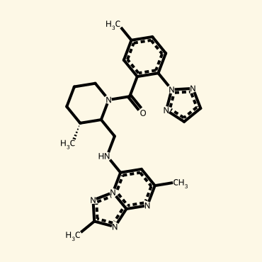 Cc1ccc(-n2nccn2)c(C(=O)N2CCC[C@@H](C)C2CNc2cc(C)nc3nc(C)nn23)c1